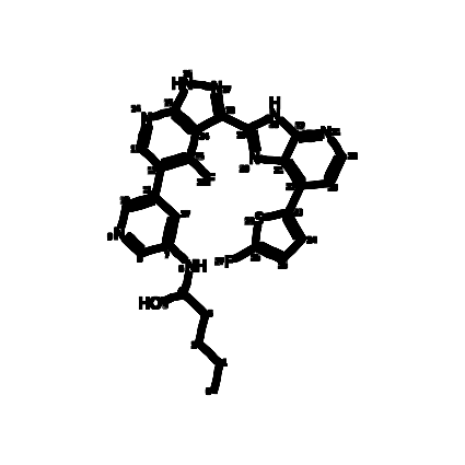 CCCCC(O)Nc1cncc(-c2cnc3[nH]nc(-c4nc5c(-c6ccc(F)s6)ccnc5[nH]4)c3c2F)c1